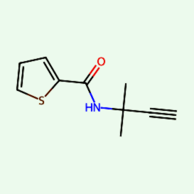 C#CC(C)(C)NC(=O)c1cccs1